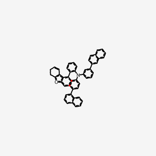 C1=Cc2c(oc3cccc(-c4ccccc4N(c4ccc(-c5cccc6ccccc56)cc4)c4cccc(-c5ccc6ccccc6c5)c4)c23)CC1